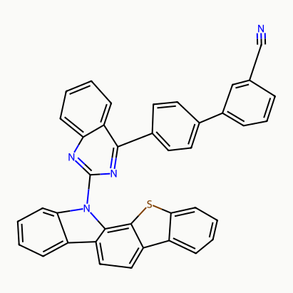 N#Cc1cccc(-c2ccc(-c3nc(-n4c5ccccc5c5ccc6c7ccccc7sc6c54)nc4ccccc34)cc2)c1